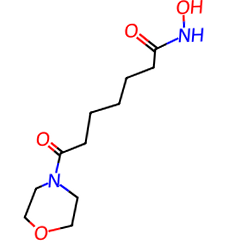 O=C(CCCCCC(=O)N1CCOCC1)NO